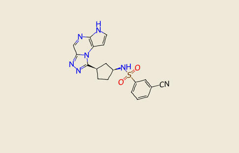 N#Cc1cccc(S(=O)(=O)N[C@H]2CC[C@@H](c3nnc4cnc5[nH]ccc5n34)C2)c1